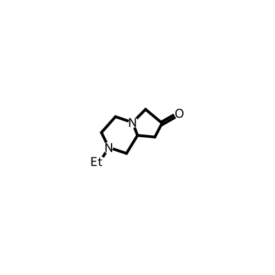 CCN1CCN2CC(=O)CC2C1